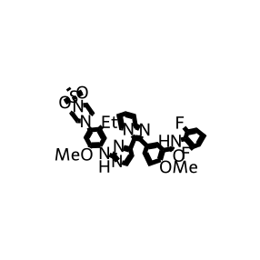 CCc1cc(Nc2nccc(-c3c(-c4ccc(OC)c(C(=O)Nc5c(F)cccc5F)c4)nc4ccccn34)n2)c(OC)cc1N1CCN(S(C)(=O)=O)CC1